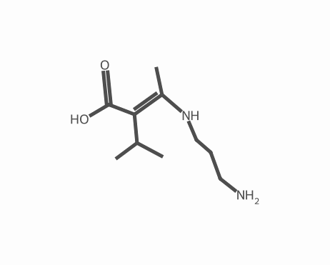 CC(NCCCN)=C(C(=O)O)C(C)C